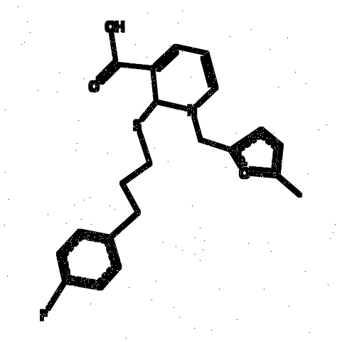 Cc1ccc(CN2C=CC=C(C(=O)O)C2SCCCc2ccc(F)cc2)o1